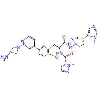 Cn1cncc1-c1ccc(NC(=O)C(Cc2cc(-c3ccnc(N4CC(N)C4)c3)ccc2Cl)NC(=O)c2ccnn2C)cc1